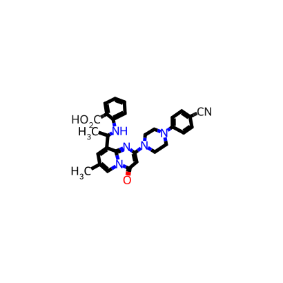 Cc1cc(C(C)Nc2ccccc2C(=O)O)c2nc(N3CCN(c4ccc(C#N)cc4)CC3)cc(=O)n2c1